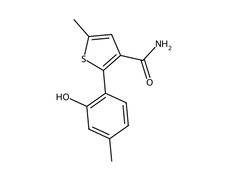 Cc1ccc(-c2sc(C)cc2C(N)=O)c(O)c1